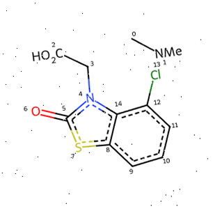 CNC.O=C(O)Cn1c(=O)sc2cccc(Cl)c21